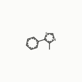 Cc1n[c]sc1-c1ccccc1